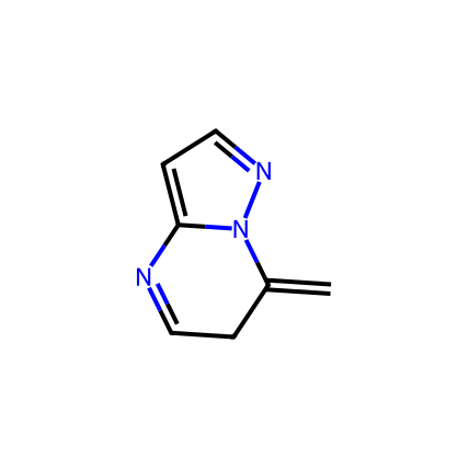 C=C1CC=Nc2ccnn21